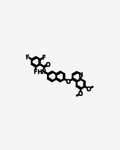 COc1cc2nccc(Oc3ccc4cc(NC(=O)c5c(F)cc(F)cc5F)ccc4c3)c2cc1OC